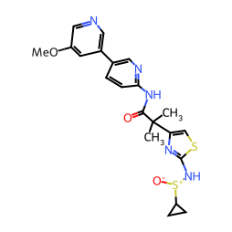 COc1cncc(-c2ccc(NC(=O)C(C)(C)c3csc(N[S+]([O-])C4CC4)n3)nc2)c1